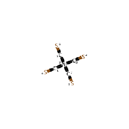 S=[C]=[Ni](=[C]=S)(=[C]=S)=[C]=S